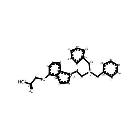 O=C(O)COc1cccc2c1ccn2CCN(Cc1ccccc1)Cc1ccccc1